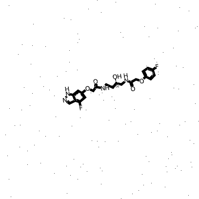 O=C(COc1cc(F)c2cn[nH]c2c1)NCC[C@H](O)CNC(=O)COc1ccc(F)cc1